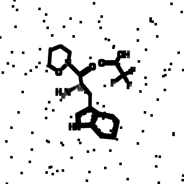 N[C@@H](Cc1c[nH]c2ccccc12)C(=O)N1CCCCO1.O=C(O)C(F)(F)F